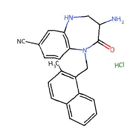 Cc1ccc2ccccc2c1CN1C(=O)C(N)CNc2cc(C#N)ccc21.Cl